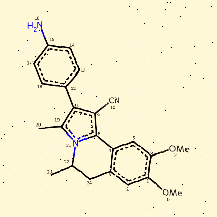 COc1cc2c(cc1OC)-c1c(C#N)c(-c3ccc(N)cc3)c(C)n1C(C)C2